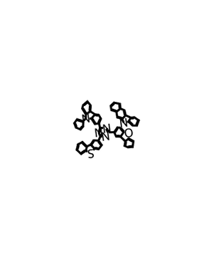 c1ccc(-n2c3ccccc3c3ccc(-c4nc(-c5ccc6sc7ccccc7c6c5)nc(-c5cc(-n6c7ccccc7c7cc8ccccc8cc76)c6oc7ccccc7c6c5)n4)cc32)cc1